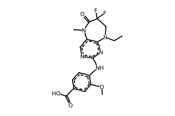 CCN1CC(F)(F)C(=O)N(C)c2cnc(Nc3ccc(C(=O)O)cc3OC)nc21